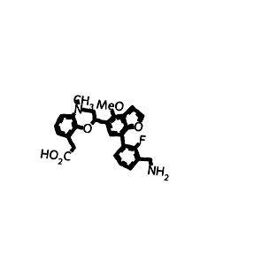 COc1c(C2CN(C)c3cccc(CC(=O)O)c3O2)cc(-c2cccc(CN)c2F)c2occc12